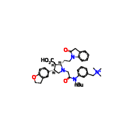 CCCCN(C(=O)CN1C[C@H](c2ccc3c(c2)CCO3)[C@@H](C(=O)O)[C@@H]1CCN1C(=O)Cc2ccccc21)c1cccc(C[N+](C)(C)C)c1